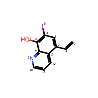 C=Cc1cc(I)c(O)c2ncccc12